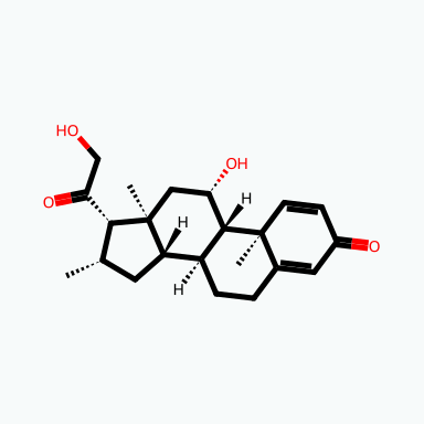 C[C@H]1C[C@H]2[C@@H]3CCC4=CC(=O)C=C[C@]4(C)[C@H]3[C@@H](O)C[C@]2(C)[C@H]1C(=O)CO